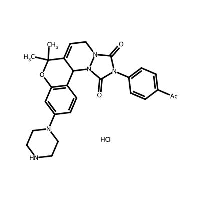 CC(=O)c1ccc(-n2c(=O)n3n(c2=O)C2C(=CC3)C(C)(C)Oc3cc(N4CCNCC4)ccc32)cc1.Cl